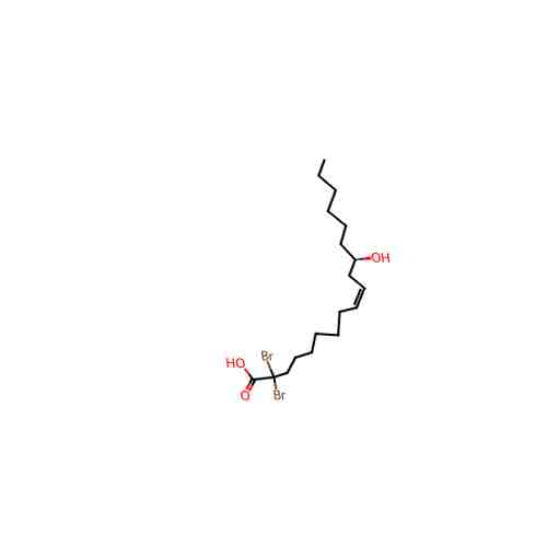 CCCCCC[C@@H](O)C/C=C\CCCCCCC(Br)(Br)C(=O)O